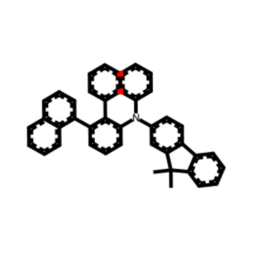 CC1(C)c2ccccc2-c2ccc(N(c3ccccc3)c3cccc(-c4cccc5ccccc45)c3-c3ccccc3)cc21